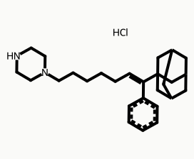 C(CCCCCN1CCNCC1)=C(c1ccccc1)C12CC3CC(CC(C3)C1)C2.Cl